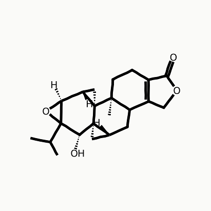 CC(C)C12O[C@H]1[C@@H]1C[C@]13[C@]1(C[C@H]1CC1C4=C(CC[C@@]13C)C(=O)OC4)[C@@H]2O